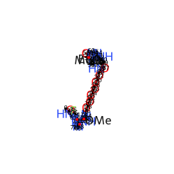 C=CC(=O)NC1CN(c2nc(Nc3cn(CCOCCOCCOCCOCCOCCOCCNC(=O)c4ccc(Nc5ncc6c(n5)N(C5CCCC5)[C@H](CC)C(=O)N6C)c(OC)c4)nc3OC)c3ncn(C)c3n2)C[C@H]1F